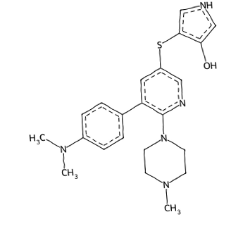 CN1CCN(c2ncc(Sc3c[nH]cc3O)cc2-c2ccc(N(C)C)cc2)CC1